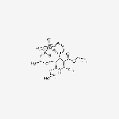 CCOC(=O)C1=C(C)NC(CC)=C(C2=NC(C)(C)CC(C)O2)C1c1cccc([N+](=O)[O-])c1.Cl